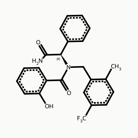 Cc1ccc(C(F)(F)F)cc1CN(C(=O)c1ccccc1O)[C@@H](C(N)=O)c1ccccc1